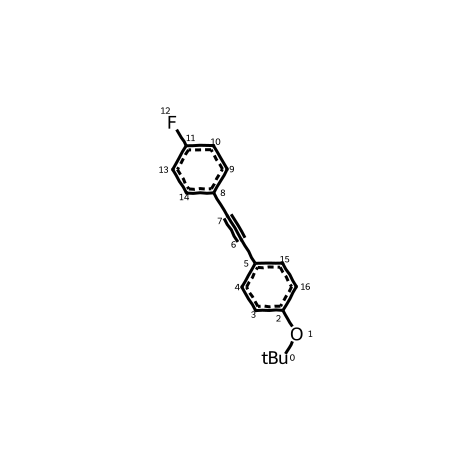 CC(C)(C)Oc1ccc(C#Cc2ccc(F)cc2)cc1